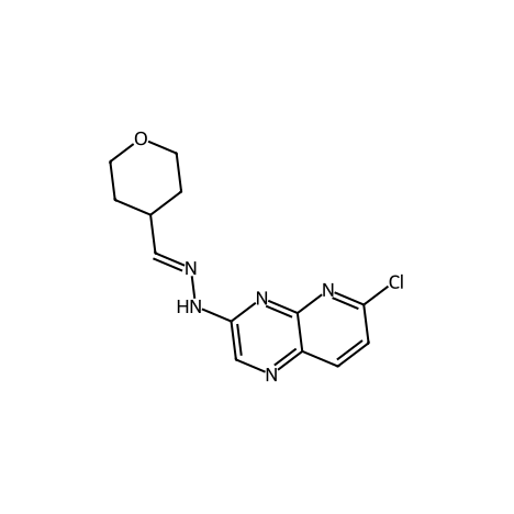 Clc1ccc2ncc(NN=CC3CCOCC3)nc2n1